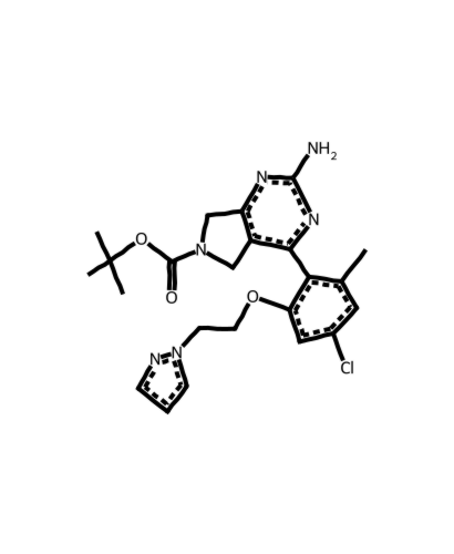 Cc1cc(Cl)cc(OCCn2cccn2)c1-c1nc(N)nc2c1CN(C(=O)OC(C)(C)C)C2